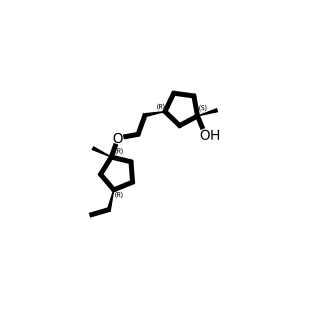 CC[C@@H]1CC[C@@](C)(OCC[C@H]2CC[C@](C)(O)C2)C1